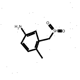 Cc1ccc(N)cc1C[SH](=O)=O